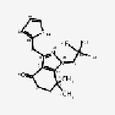 CC1(C)CCC(=O)c2c(Cc3cccs3)nn(CC(F)(F)F)c21